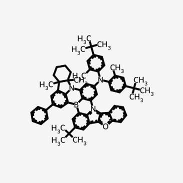 Cc1cc(C(C)(C)C)ccc1N(c1cc2c3c(c1)-n1c4c(cc(C(C)(C)C)cc4c4oc5ccccc5c41)B3c1cc(-c3ccccc3)cc3c1N2C1(C)CCCCC31C)c1ccc(C(C)(C)C)cc1C